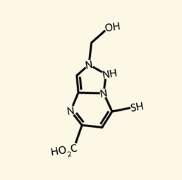 O=C(O)C1=NC2=CN(CO)NN2C(S)=C1